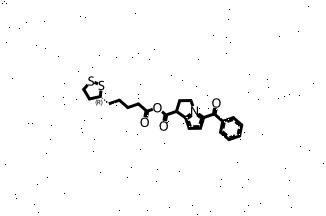 O=C(CCCC[C@@H]1CCSS1)OC(=O)C1CCn2c(C(=O)c3ccccc3)ccc21